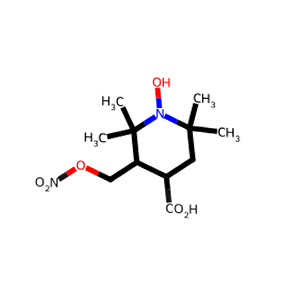 CC1(C)CC(C(=O)O)C(CO[N+](=O)[O-])C(C)(C)N1O